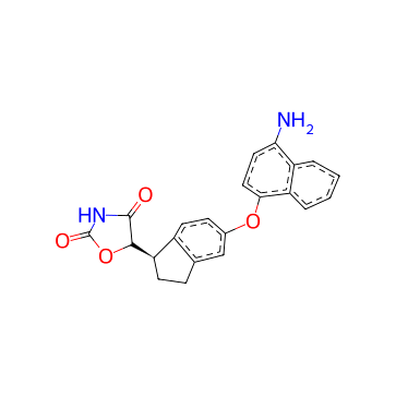 Nc1ccc(Oc2ccc3c(c2)CC[C@H]3C2OC(=O)NC2=O)c2ccccc12